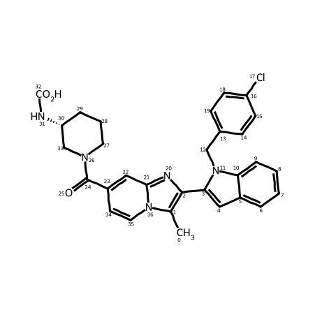 Cc1c(-c2cc3ccccc3n2Cc2ccc(Cl)cc2)nc2cc(C(=O)N3CCC[C@@H](NC(=O)O)C3)ccn12